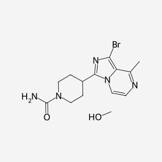 CO.Cc1nccn2c(C3CCN(C(N)=O)CC3)nc(Br)c12